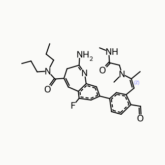 CCCN(CCC)C(=O)C1=Cc2c(F)cc(-c3ccc(C=O)c(/C=C(/C)N(C)CC(=O)NC)c3)cc2N=C(N)C1